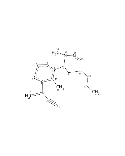 C=C(C#N)c1cccc(C2CC(CCC)C=NN2C)c1C